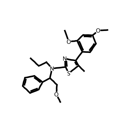 CCCN(c1nc(-c2ccc(OC)cc2OC)c(C)s1)C(COC)c1ccccc1